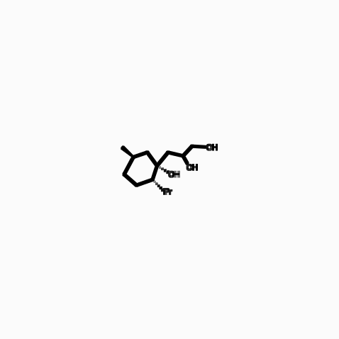 CC(C)[C@@H]1CC[C@@H](C)C[C@@]1(O)CC(O)CO